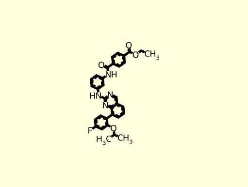 CCOC(=O)c1ccc(C(=O)Nc2cccc(Nc3ncc4cccc(-c5ccc(F)cc5OC(C)C)c4n3)c2)cc1